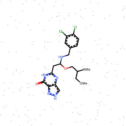 CNC(COC)COC(Cc1nc2c[nH]nc2c(=O)[nH]1)NCc1ccc(Cl)c(Cl)c1